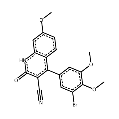 COc1ccc2c(-c3cc(Br)c(OC)c(OC)c3)c(C#N)c(=O)[nH]c2c1